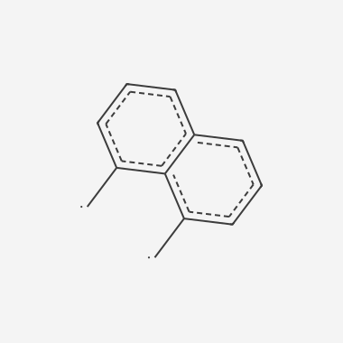 [CH2]c1cccc2cccc([CH2])c12